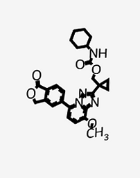 COc1ccc(-c2ccc3c(c2)COC3=O)n2nc(C3(COC(=O)NC4CCCCC4)CC3)nc12